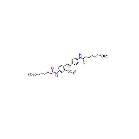 CCCCCCCCCCCCCCCC(=O)Nc1ccc(/C=C/c2ccc(NC(=O)CCCCCCCCCCCCCCC)cc2S(=O)(=O)O)cc1